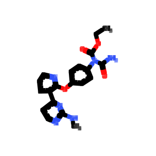 CCOC(=O)N(C(N)=O)c1ccc(Oc2ncccc2-c2ccnc(NC)n2)cc1